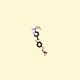 CNc1ccc(-c2nc3ccc(OC[C@H]4CO4)cc3s2)cn1